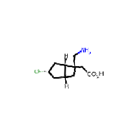 NC[C@@]1(CC(=O)O)C[C@@H]2C[C@H](Cl)C[C@@H]21